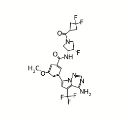 COc1cc(C(=O)N[C@@H]2CN(C(=O)C3CC(F)(F)C3)C[C@@H]2F)cc(-c2cc(C(F)(F)F)c3c(N)ncnn23)c1